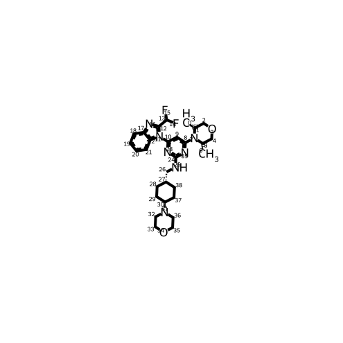 C[C@H]1COC[C@H](C)N1c1cc(-n2c(C(F)F)nc3ccccc32)nc(NC[C@H]2CC[C@H](N3CCOCC3)CC2)n1